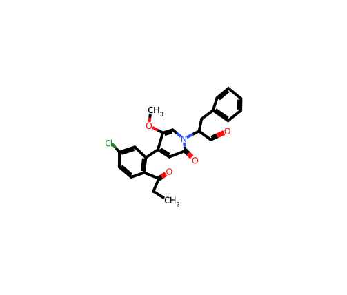 CCC(=O)c1ccc(Cl)cc1-c1cc(=O)n(C(C=O)Cc2ccccc2)cc1OC